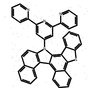 c1ccc(-c2cc(-n3c4ccc5ccccc5c4c4c5ccccc5c5sc6ccccc6c5c43)cc(-c3ccccn3)n2)nc1